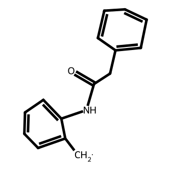 [CH2]c1ccccc1NC(=O)Cc1ccccc1